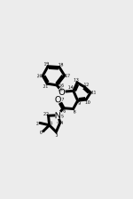 CC1(C)C[CH]N(C(=O)Cc2ccccc2Oc2ccccc2)C1